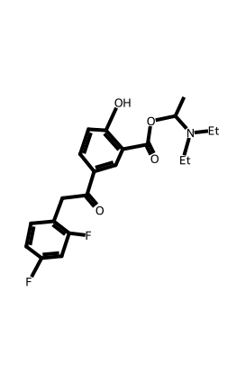 CCN(CC)C(C)OC(=O)c1cc(C(=O)Cc2ccc(F)cc2F)ccc1O